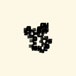 COc1ccc(C=CC(=O)c2cc3c(cc2OCCCN)SCO3)cc1F.O=C(O)C(F)(F)F